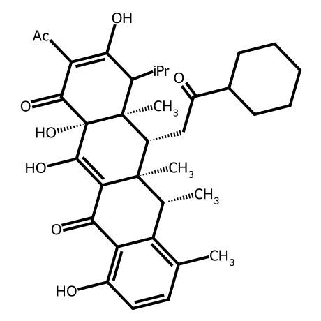 CC(=O)C1=C(O)C(C(C)C)[C@@]2(C)[C@H](CC(=O)C3CCCCC3)[C@]3(C)C(=C(O)[C@@]2(O)C1=O)C(=O)c1c(O)ccc(C)c1[C@H]3C